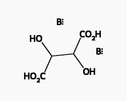 O=C(O)C(O)C(O)C(=O)O.[B].[B]